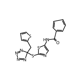 O=C(Nc1cnc(SC2(Cc3cccs3)N=NN=N2)s1)c1ccccc1